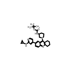 CC(C)(C)OC(=O)NC1CCCN(c2c3c(nc4ccc(-c5ccnc(NC6CC6)c5)cc24)CCCC3)C1